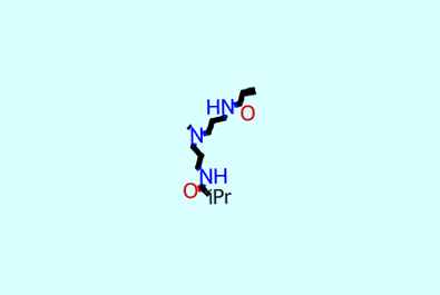 C=CC(=O)NCCCN(C)CCCNC(=O)C(C)C